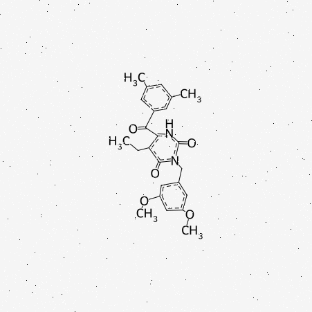 CCc1c(C(=O)c2cc(C)cc(C)c2)[nH]c(=O)n(Cc2cc(OC)cc(OC)c2)c1=O